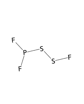 FSSP(F)F